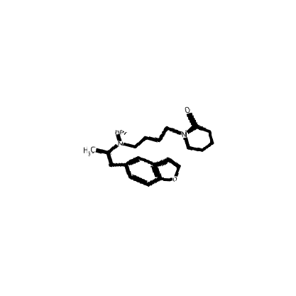 CCCN(CCCCN1CCCCC1=O)C(C)Cc1ccc2c(c1)CCO2